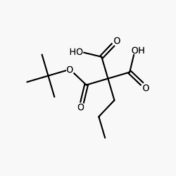 CCCC(C(=O)O)(C(=O)O)C(=O)OC(C)(C)C